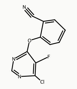 N#Cc1ccccc1Oc1ncnc(Cl)c1F